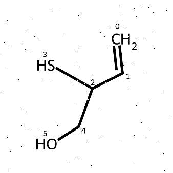 C=CC(S)CO